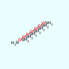 [SiH2]O[SiH2]O[SiH2]O[SiH2]O[SiH2]O[SiH2]O[SiH2]O[SiH3]